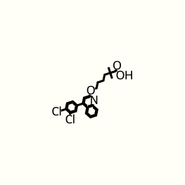 CC(C)(CCCCOc1cc(-c2ccc(Cl)c(Cl)c2)c2ccccc2n1)C(=O)O